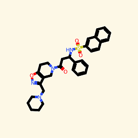 O=C(CC(NS(=O)(=O)c1ccc2ccccc2c1)c1ccccc1)N1CCc2onc(CN3CCCCC3)c2C1